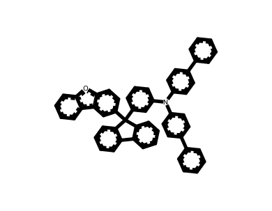 c1ccc(-c2ccc(N(c3ccc(-c4ccccc4)cc3)c3cccc(C4(c5ccc6oc7ccccc7c6c5)c5ccccc5-c5ccccc54)c3)cc2)cc1